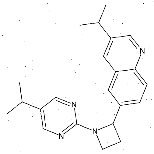 CC(C)c1cnc(N2CCC2c2ccc3ncc(C(C)C)cc3c2)nc1